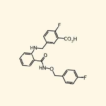 O=C(O)c1cc(CNc2ccccc2C(=O)NOCc2ccc(F)cc2)ccc1F